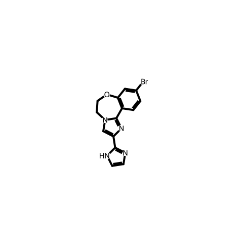 Brc1ccc2c(c1)OCCn1cc(-c3ncc[nH]3)nc1-2